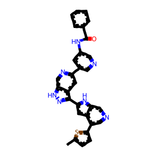 Cc1ccc(-c2cncc3[nH]c(-c4n[nH]c5cnc(-c6cncc(NC(=O)c7ccccc7)c6)cc45)cc23)s1